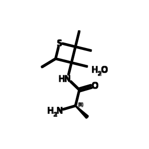 CC1SC(C)(C)C1(C)NC(=O)[C@@H](C)N.O